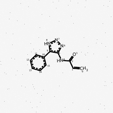 C=CC(=O)Nc1nn[nH]c1-c1ccccc1